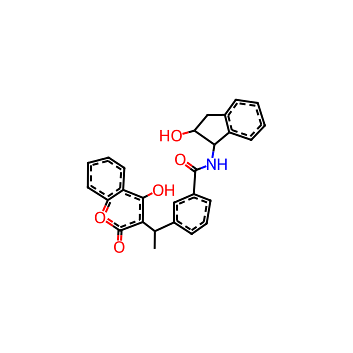 CC(c1cccc(C(=O)NC2c3ccccc3CC2O)c1)c1c(O)c2ccccc2oc1=O